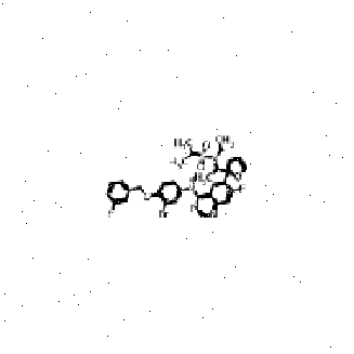 CCN(C(C)C1(c2cc3c(Nc4ccc(OCc5cccc(F)c5)c(Br)c4)ncnc3cc2F)CC=CO1)S(=O)(=O)C(C)C